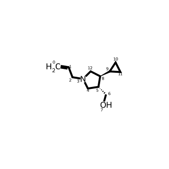 C=CCN1C[C@@H](CO)[C@H](C2CC2)C1